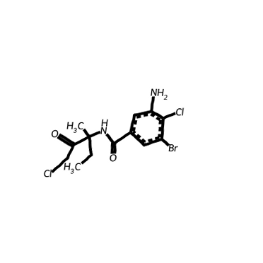 CCC(C)(NC(=O)c1cc(N)c(Cl)c(Br)c1)C(=O)CCl